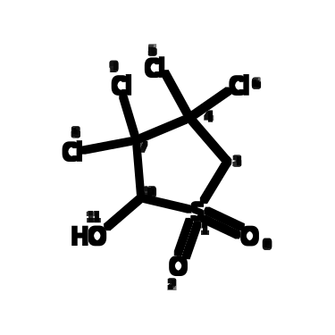 O=S1(=O)CC(Cl)(Cl)C(Cl)(Cl)C1O